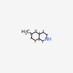 CC1CCC2CNCCC2C1